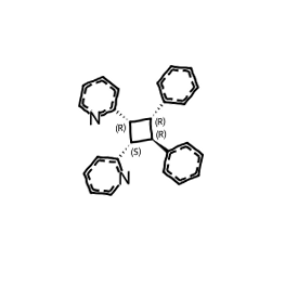 c1ccc([C@@H]2[C@@H](c3ccccc3)[C@H](c3ccccn3)[C@@H]2c2ccccn2)cc1